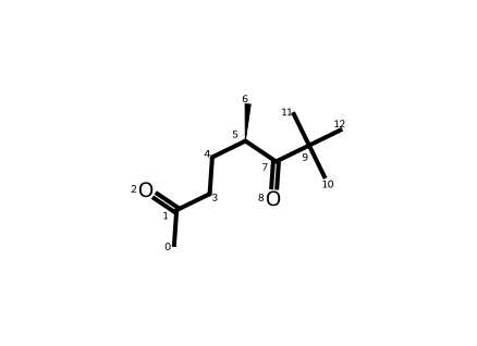 CC(=O)CC[C@@H](C)C(=O)C(C)(C)C